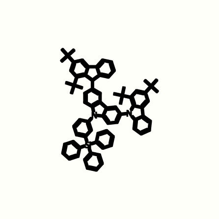 CC(C)(C)c1cc2c(c(C(C)(C)C)c1)C(c1ccc3c(c1)c1cc(-n4c5ccccc5c5cc(C(C)(C)C)cc(C(C)(C)C)c54)ccc1n3-c1cccc([Si](c3ccccc3)(c3ccccc3)c3ccccc3)c1)c1ccccc1-2